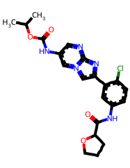 CC(C)OC(=O)Nc1cnc2nc(-c3cc(NC(=O)C4CCCO4)ccc3Cl)cn2c1